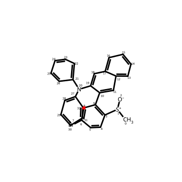 C[S+]([O-])c1ccc(Br)cc1-c1cc2ccccc2cc1N(c1ccccc1)c1ccccc1